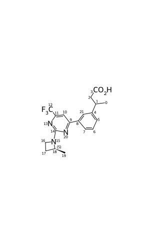 CC(CC(=O)O)c1cccc(-c2cc(C(F)(F)F)nc(N3CC[C@@H]3C)n2)c1